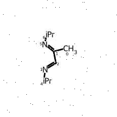 CC(C=NC(C)C)=NC(C)C